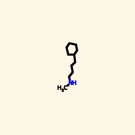 CNCCCCC1CCCCC1